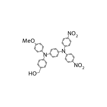 COc1ccc(N(c2ccc(CO)cc2)c2ccc(N(c3ccc([N+](=O)[O-])cc3)c3ccc([N+](=O)[O-])cc3)cc2)cc1